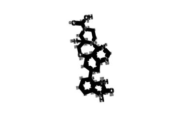 O=C(O)N1CCN2c3ncnc4cc(-c5cccc6[nH]c(=O)[nH]c56)cc(c34)OC[C@@H]2C1